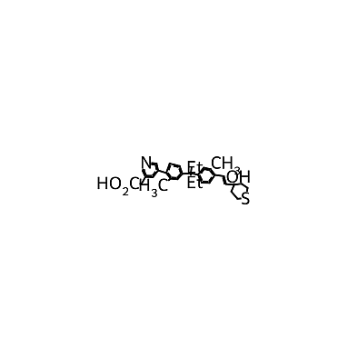 CCC(CC)(c1ccc(C=CC2(O)CCSCC2)c(C)c1)c1ccc(-c2cncc(CC(=O)O)c2)c(C)c1